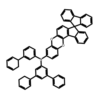 C1=CCCC(c2cc(-c3ccccc3)cc(N(c3cccc(C4C=CC=CC4)c3)c3ccc4c(c3)Oc3ccc5c(c3O4)-c3ccccc3C53c4ccccc4-c4ccccc43)c2)=C1